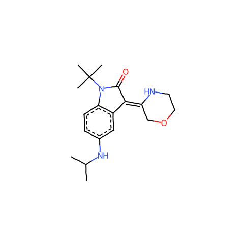 CC(C)Nc1ccc2c(c1)/C(=C1\COCCN1)C(=O)N2C(C)(C)C